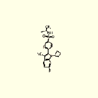 C[C@H](NS(=O)(=O)c1ccc(-c2c(C#N)c3ccc(F)cc3n2C2CCC2)nc1)C(F)(F)F